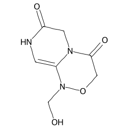 O=C1CN2C(=O)CON(CO)C2=CN1